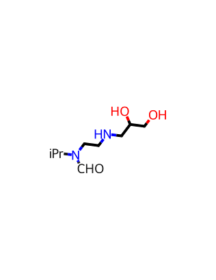 CC(C)N(C=O)CCNCC(O)CO